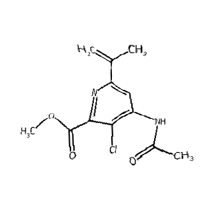 C=C(C)c1cc(NC(C)=O)c(Cl)c(C(=O)OC)n1